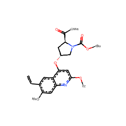 C=Cc1cc2c(O[C@@H]3C[C@@H](C(=O)OC)N(C(=O)OC(C)(C)C)C3)cc(OCC)nc2cc1OC